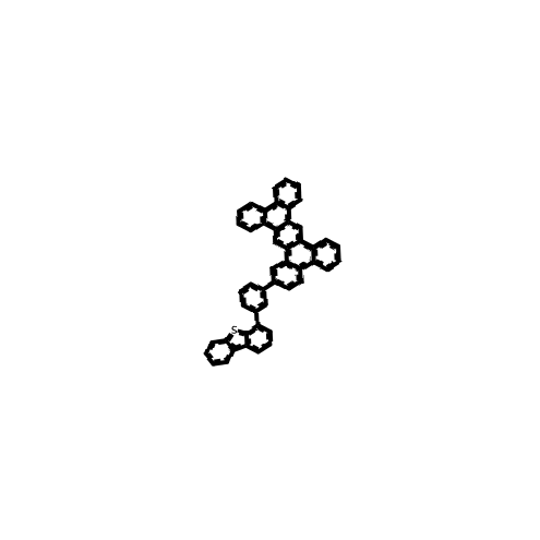 c1cc(-c2ccc3c4ccccc4c4cc5c6ccccc6c6ccccc6c5cc4c3c2)cc(-c2cccc3c2sc2ccccc23)c1